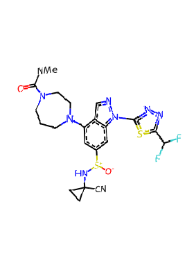 CNC(=O)N1CCCN(c2cc([S+]([O-])NC3(C#N)CC3)cc3c2cnn3-c2nnc(C(F)F)s2)CC1